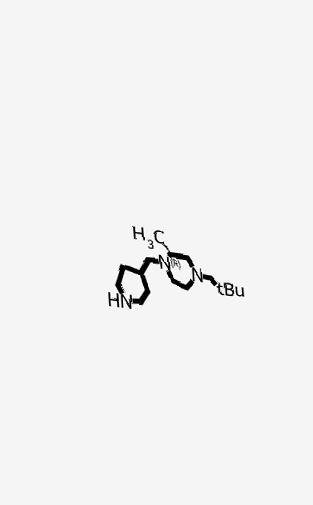 C[C@@H]1CN(CC(C)(C)C)CCN1CC1CCNCC1